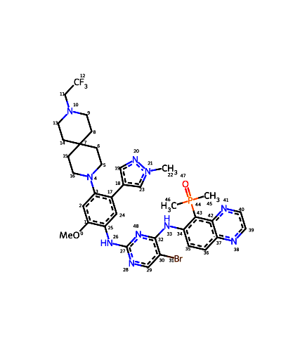 COc1cc(N2CCC3(CCN(CC(F)(F)F)CC3)CC2)c(-c2cnn(C)c2)cc1Nc1ncc(Br)c(Nc2ccc3nccnc3c2P(C)(C)=O)n1